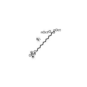 CCCCCCCCOC(CCCCCCCCCCCOOP(=O)([O-])[O-])OCCCCCCCC.[K+].[K+]